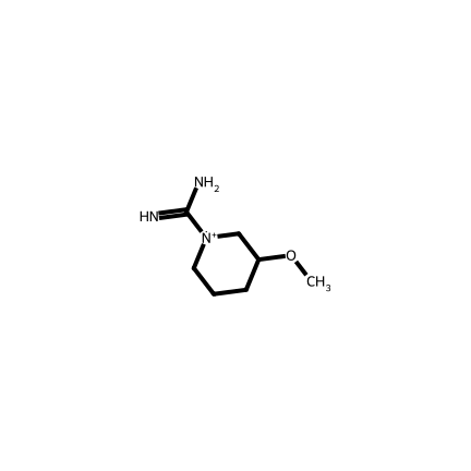 COC1CCC[N+](C(=N)N)C1